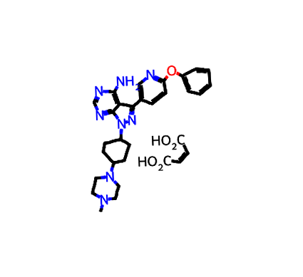 CN1CCN(C2CCC(n3nc(-c4ccc(Oc5ccccc5)nc4)c4c(N)ncnc43)CC2)CC1.O=C(O)/C=C\C(=O)O